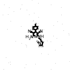 Cc1ccc(-c2c(C#N)c(N)nc(NCCC3CCCN3C)c2C#N)cc1